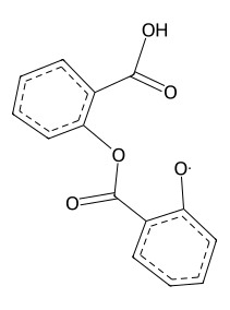 [O]c1ccccc1C(=O)Oc1ccccc1C(=O)O